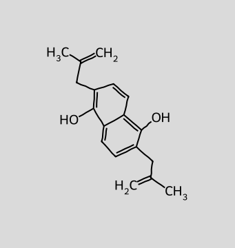 C=C(C)Cc1ccc2c(O)c(CC(=C)C)ccc2c1O